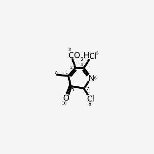 CC1=C(C(=O)O)C(Cl)=NC(Cl)C1=O